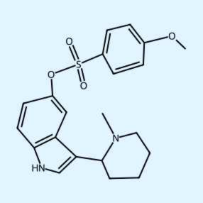 COc1ccc(S(=O)(=O)Oc2ccc3[nH]cc(C4CCCCN4C)c3c2)cc1